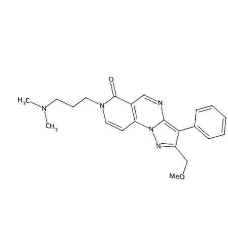 COCc1nn2c(ncc3c(=O)n(CCCN(C)C)ccc32)c1-c1ccccc1